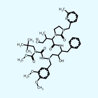 CCC(C)C(C(=O)NC(Cc1ccccc1)C(O)CN(Cc1ccc(OC)c(OC)c1)NC(=O)N(CC(C)(C)C)C(=O)OC)N1CCN(Cc2cccc(C)n2)C1=O